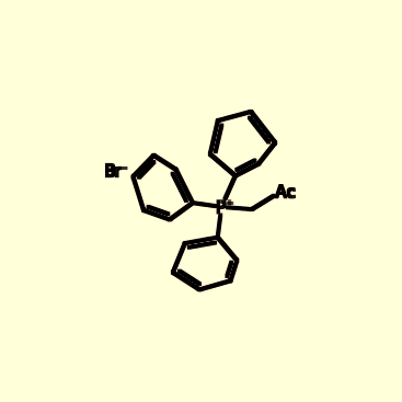 CC(=O)C[P+](c1ccccc1)(c1ccccc1)c1ccccc1.[Br-]